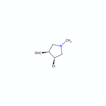 CC[C@@H]1CN(C)C[C@@H]1C=O